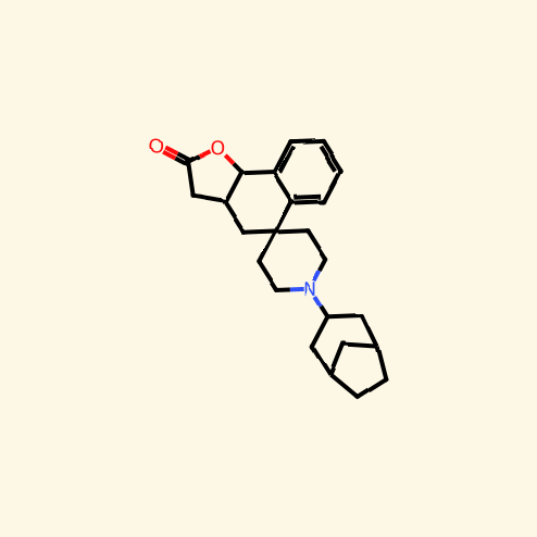 O=C1CC2CC3(CCN(C4CC5CCC(C5)C4)CC3)c3ccccc3C2O1